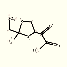 C=C(C)C(=O)C1CSC(C)(CS(=O)(=O)O)S1